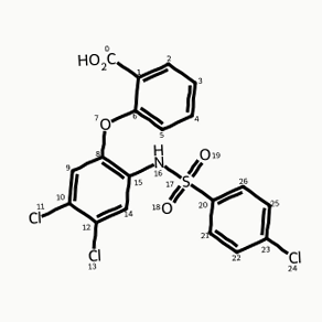 O=C(O)c1ccccc1Oc1cc(Cl)c(Cl)cc1NS(=O)(=O)c1ccc(Cl)cc1